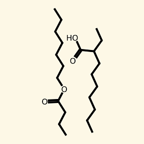 CCCCCCCC(CC)C(=O)O.CCCCCCCOC(=O)CCC